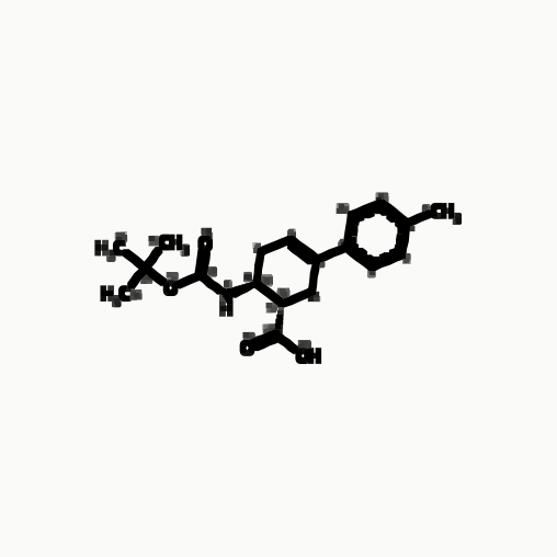 Cc1ccc(C2=CC[C@H](NC(=O)OC(C)(C)C)[C@@H](C(=O)O)C2)cc1